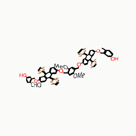 COc1cc(COc2ccc3c(=C4SC=CS4)c4cc(OCc5cc(O)ccc5C=O)ccc4c(=C4SC=CS4)c3c2)c(OC)cc1COc1ccc2c(=C3SC=CS3)c3cc(OCc4cc(O)ccc4C)ccc3c(=C3SC=CS3)c2c1